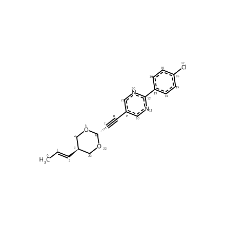 CC=C[C@H]1CO[C@H](C#Cc2cnc(-c3ccc(Cl)cc3)nc2)OC1